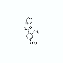 Cc1cc(C(=O)O)ccc1C(=O)Oc1ccccn1